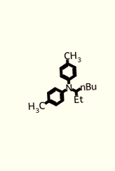 CCCCC(CC)N(c1ccc(C)cc1)c1ccc(C)cc1